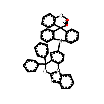 c1ccc(C2(c3ccccc3)Oc3nc4ccccc4n3-c3ccc(N4c5ccccc5C5(c6ccccc6Oc6ccccc65)c5ccccc54)cc32)cc1